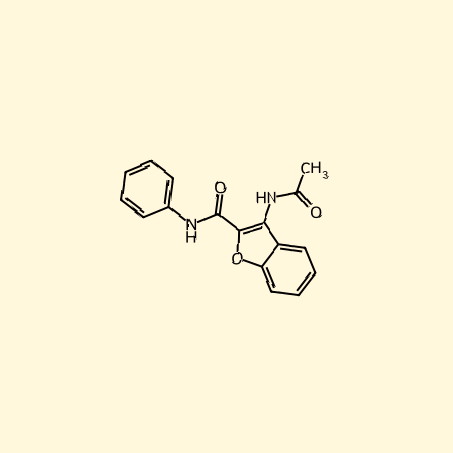 CC(=O)Nc1c(C(=O)Nc2ccccc2)oc2ccccc12